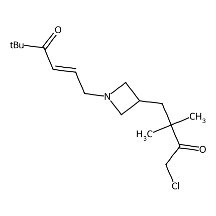 CC(C)(C)C(=O)/C=C/CN1CC(CC(C)(C)C(=O)CCl)C1